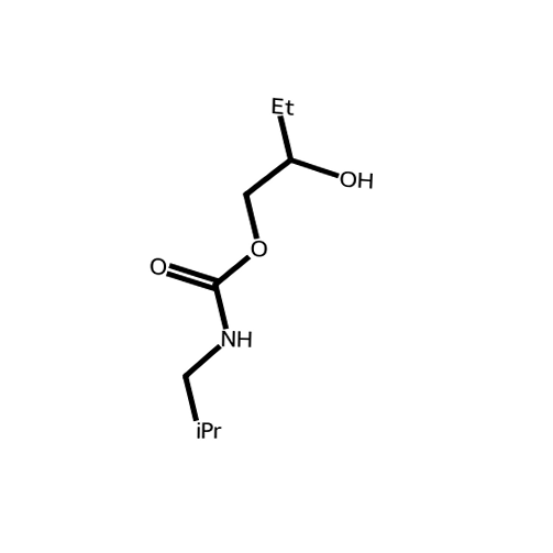 CCC(O)COC(=O)NCC(C)C